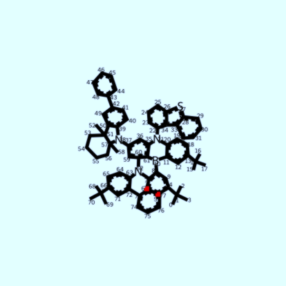 CC(C)(C)c1ccc2c(c1)B1c3cc(C(C)(C)C)ccc3N(c3cccc4sc5ccccc5c34)c3cc(N4c5ccc(-c6ccccc6)cc5C5(C)CCCCC45C)cc(c31)N2c1ccc(C(C)(C)C)cc1-c1ccccc1